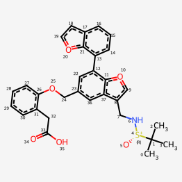 CC(C)(C)[S@+]([O-])NCc1coc2c(-c3cccc4ccoc34)cc(COc3ccccc3CC(=O)O)cc12